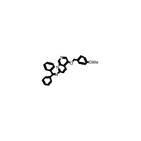 COc1ccc(COc2cncc3nc(N=C(c4ccccc4)c4ccccc4)ccc23)cc1